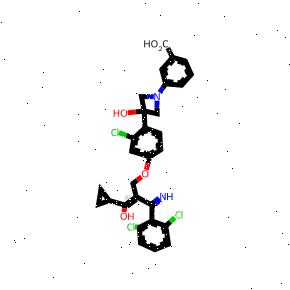 N=C(/C(COc1ccc(C2(O)CN(c3cccc(C(=O)O)c3)C2)c(Cl)c1)=C(\O)C1CC1)c1c(Cl)cccc1Cl